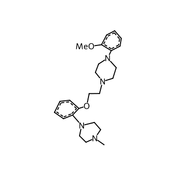 COc1ccccc1N1CCN(CCOc2ccccc2N2CCN(C)CC2)CC1